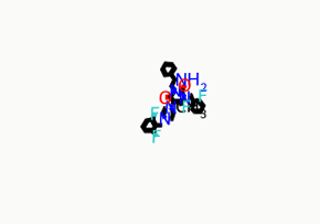 Cc1c(N2CCN(Cc3c(F)cccc3F)CC2)c(=O)n(C[C@@H](N)c2ccccc2)c(=O)n1Cc1c(F)cccc1F